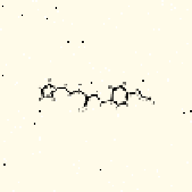 COc1ccc(CCC(=O)NCCn2cccc2)cc1